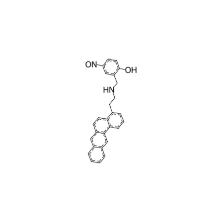 O=Nc1ccc(O)c(CNCCc2cccc3c2ccc2cc4ccccc4cc23)c1